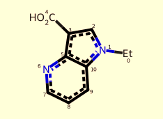 CCn1cc(C(=O)O)c2ncccc21